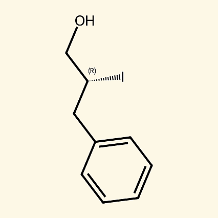 OC[C@H](I)Cc1ccccc1